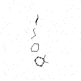 CC=COCCC[C@H]1CC[C@H](c2cccc(F)c2F)CC1